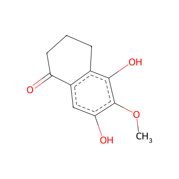 COc1c(O)cc2c(c1O)CCCC2=O